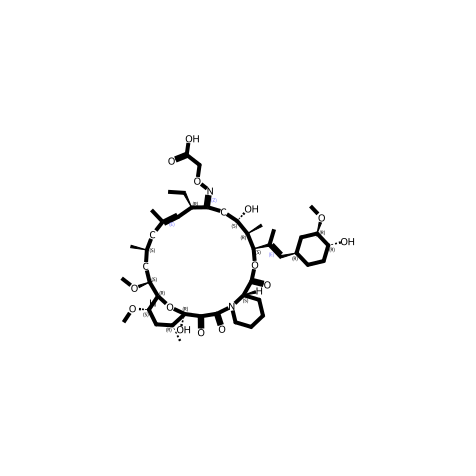 CC[C@@H]1/C=C(\C)C[C@H](C)C[C@H](OC)[C@H]2O[C@@](O)(C(=O)C(=O)N3CCCC[C@H]3C(=O)O[C@H](/C(C)=C/[C@@H]3CC[C@@H](O)[C@H](OC)C3)[C@H](C)[C@@H](O)C/C1=N/OCC(=O)O)[C@H](C)C[C@@H]2OC